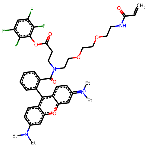 C=CC(=O)NCCOCCOCCN(CCC(=O)Oc1c(F)c(F)cc(F)c1F)C(=O)c1ccccc1-c1c2ccc(=[N+](CC)CC)cc-2oc2cc(N(CC)CC)ccc12